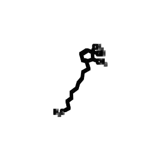 CCCCCCCCCCC1=CC=CC(C)(O)C1C